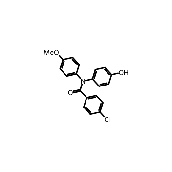 COc1ccc(N(C(=O)c2ccc(Cl)cc2)c2ccc(O)cc2)cc1